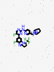 CN1C2CCC1CN(Cc1ccc(Nc3ncc(F)c(-c4cc(F)c5nc6n(c5c4)[C@H](C(F)(F)F)CC6)n3)nc1)C2